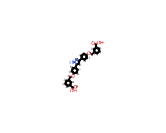 O=C(O)c1cccc(COc2ccc(-c3cc(-c4ccc(OCc5cccc(C(=O)O)c5)cc4)[nH]n3)cc2)c1